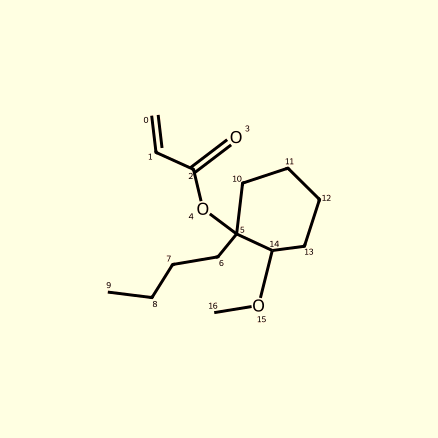 C=CC(=O)OC1(CCCC)CCCCC1OC